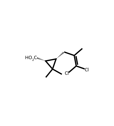 CC(C[C@H]1[C@@H](C(=O)O)C1(C)C)=C(Cl)Cl